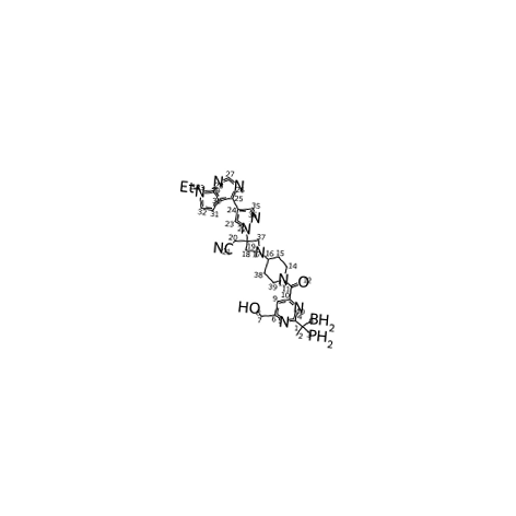 BC(C)(P)c1nc(CO)cc(C(=O)N2CCC(N3CC(CC#N)(n4cc(-c5ncnc6c5ccn6CC)cn4)C3)CC2)n1